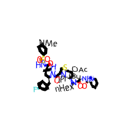 CCCCCCN(C(=O)[C@@H](NC(=O)[C@H]1CCCCN1C)[C@@H](C)CC)[C@H](C[C@@H](OC(C)=O)c1nc(C(=O)N[C@@H](Cc2ccc(F)cc2)CC(C)(C)C(=O)NS(=O)(=O)c2ccc(NC)cc2)cs1)C(C)C